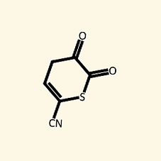 N#CC1=CCC(=O)C(=O)S1